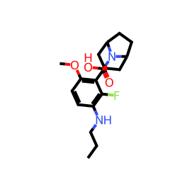 CCCNc1ccc(OC)c(C2CC3CCC(C2)N3C(=O)O)c1F